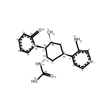 C[C@@H]1C[C@@H](c2ccncc2N)C[C@H](NC(=O)O)[C@H]1n1ccccc1=O